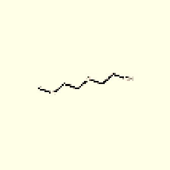 OCCOCCS[S]